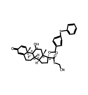 C[C@]12C=CC(=O)C=C1CC[C@H]1[C@@H]3CC[C@](OC(=O)c4ccc(Sc5ccccc5)cc4)(C(=O)SCC#N)[C@@]3(C)C[C@H](O)[C@@]12F